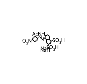 CC(=O)Nc1ccc2c(S(=O)(=O)O)cc(S(=O)(=O)O)cc2c1/N=N/c1ccc([N+](=O)[O-])cc1.[NaH].[NaH]